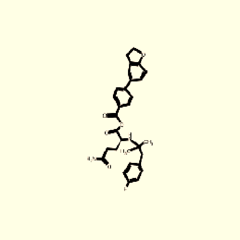 CC(C)(Cc1ccc(F)cc1)N[C@@H](CCC(N)=O)C(=O)OC(=O)c1ccc(-c2ccc3c(c2)CCO3)cc1